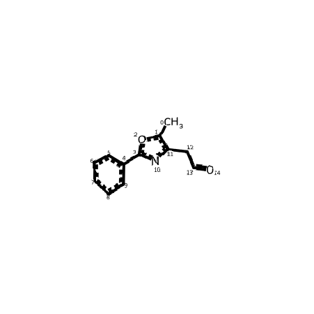 Cc1oc(-c2ccccc2)nc1CC=O